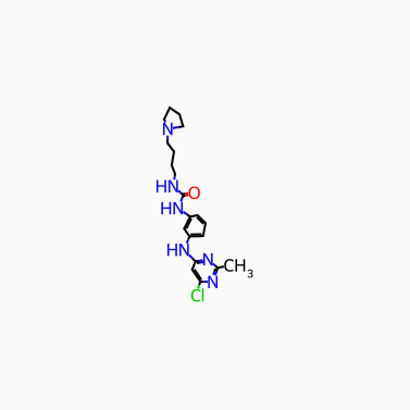 Cc1nc(Cl)cc(Nc2cccc(NC(=O)NCCCCN3CCCC3)c2)n1